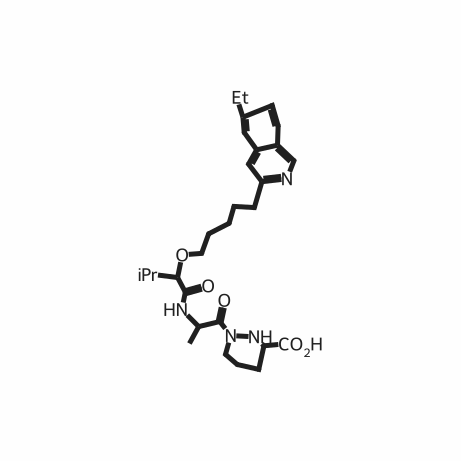 CCc1ccc2cnc(CCCCCOC(C(=O)NC(C)C(=O)N3CCCC(C(=O)O)N3)C(C)C)cc2c1